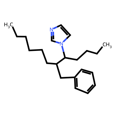 CCCCCCC(Cc1ccccc1)C(CCCC)n1ccnc1